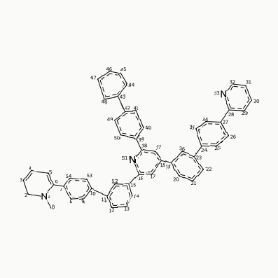 CN1CC=CC=C1c1ccc(-c2cccc(-c3cc(-c4cccc(-c5ccc(-c6ccccn6)cc5)c4)cc(-c4ccc(-c5ccccc5)cc4)n3)c2)cc1